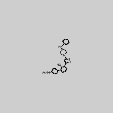 CC(=O)Nc1ccc(-c2cccc(-c3cc(N4CCN(Nc5ccccc5)CC4)no3)c2O)cc1